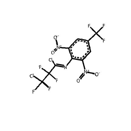 O=[N+]([O-])c1cc(C(F)(F)F)cc([N+](=O)[O-])c1/N=C(\Cl)C(F)(F)C(F)(F)Cl